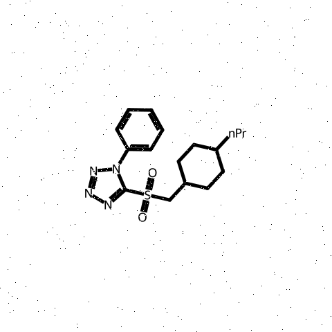 CCCC1CCC(CS(=O)(=O)c2nnnn2-c2ccccc2)CC1